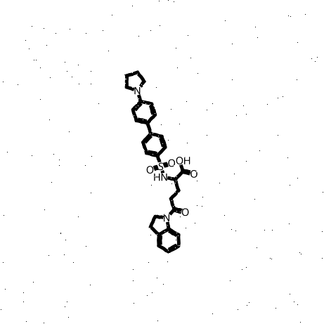 O=C(O)C(CCC(=O)N1CCc2ccccc21)NS(=O)(=O)c1ccc(-c2ccc(N3CCCC3)cc2)cc1